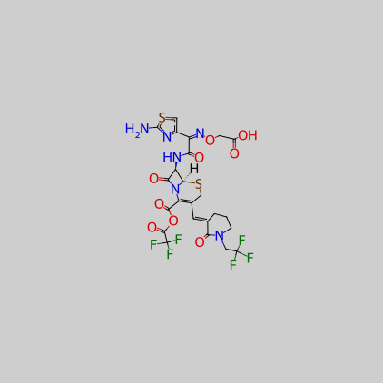 Nc1nc(/C(=N/OCC(=O)O)C(=O)N[C@@H]2C(=O)N3C(C(=O)OC(=O)C(F)(F)F)=C(C=C4CCCN(CC(F)(F)F)C4=O)CS[C@H]23)cs1